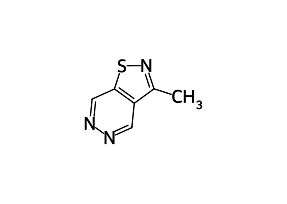 Cc1nsc2cnncc12